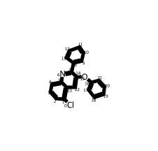 Clc1cccc2nc(-c3ccccc3)c(Oc3ccccc3)cc12